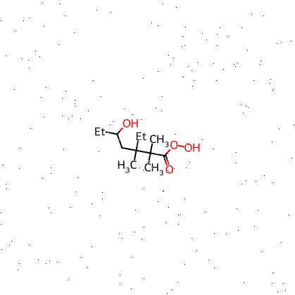 CCC(O)CC(C)(CC)C(C)(C)C(=O)OO